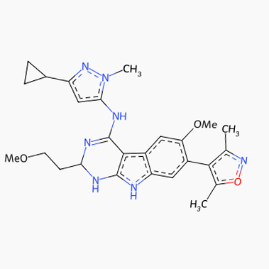 COCCC1N=C(Nc2cc(C3CC3)nn2C)c2c([nH]c3cc(-c4c(C)noc4C)c(OC)cc23)N1